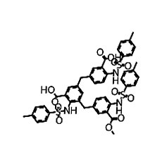 COC(=O)c1cc(Cc2cc(Cc3ccc(NS(=O)(=O)c4ccc(C)cc4)c(C(=O)O)c3)cc(C(=O)O)c2NS(=O)(=O)c2ccc(C)cc2)ccc1NS(=O)(=O)c1ccc(C)cc1